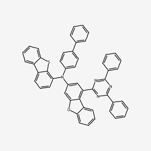 c1ccc(-c2ccc(N(c3cc(-c4nc(-c5ccccc5)nc(-c5ccccc5)n4)c4c(c3)oc3ccccc34)c3cccc4c3sc3ccccc34)cc2)cc1